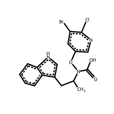 CC(Cc1c[nH]c2ccccc12)N(Oc1cnc(Cl)c(Br)c1)C(=O)O